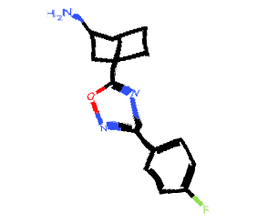 NC1CC2(c3nc(-c4ccc(F)cc4)no3)CCC12